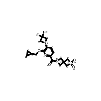 O=C(c1ccc(N2CC(F)(F)C2)c(OCC2CC2)n1)N1CC2(C1)CS(=O)(=O)C2